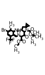 CCOC(=O)C(N/C=C1\C(=N)C(C)=C(Br)C=C1C(F)(F)F)C(=O)C1CCC2(CC2)N1C(=O)OC(C)(C)C